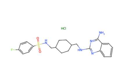 Cl.Nc1nc(NCC2CCC(CNS(=O)(=O)c3ccc(F)cc3)CC2)nc2ccccc12